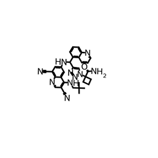 CC(C)(C)CNc1c(C#N)cnc2c(C#N)cc(NC(c3cn(C4(C(N)=O)CCC4)nn3)c3cccc4ncccc34)cc12